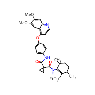 CCOC(=O)C1=C(NC(=O)C2(C(=O)Nc3ccc(Oc4ccnc5cc(OC)c(OC)cc45)cc3)CC2)C(C)CCC1C